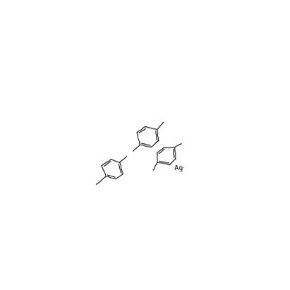 Cc1ccc(C)cc1.Cc1ccc(C)cc1.Cc1ccc(C)cc1.[Ag]